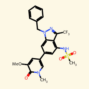 COc1cc(-c2cc(NS(C)(=O)=O)c3c(C(F)(F)F)nn(Cc4ccccc4)c3c2)cn(C)c1=O